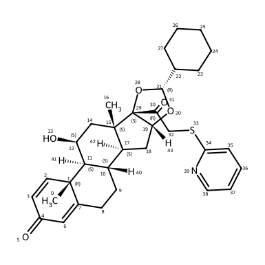 C[C@]12C=CC(=O)C=C1CC[C@@H]1[C@@H]2[C@@H](O)C[C@@]2(C)[C@H]1C[C@H]1O[C@@H](C3CCCCC3)O[C@]12C(=O)CSc1ccccn1